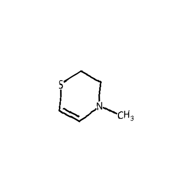 CN1C=CSCC1